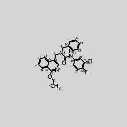 CCOc1ncc(CN(Cc2ccccc2)C(=O)Nc2ccc(F)c(Cl)c2)c2ccccc12